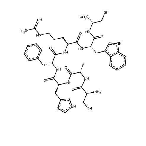 C[C@H](NC(=O)[C@@H](N)CS)C(=O)N[C@@H](Cc1c[nH]cn1)C(=O)N[C@H](Cc1ccccc1)C(=O)N[C@@H](CCCNC(=N)N)C(=O)N[C@@H](Cc1c[nH]c2ccccc12)C(=O)N[C@@H](CS)C(=O)O